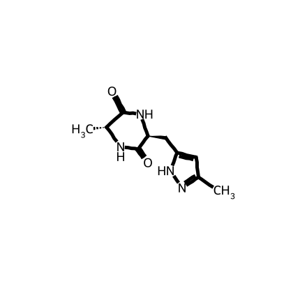 Cc1cc(C[C@@H]2NC(=O)[C@@H](C)NC2=O)[nH]n1